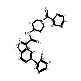 O=C(NC1CCN(C(=O)c2ccccc2)CC1)c1n[nH]c2ccc(-c3cccnc3F)cc12